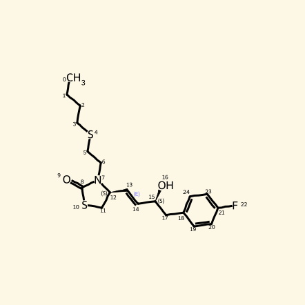 CCCCSCCN1C(=O)SC[C@@H]1/C=C/[C@@H](O)Cc1ccc(F)cc1